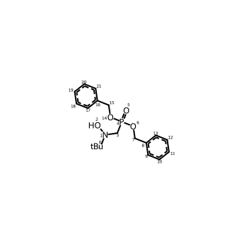 CC(C)(C)N(O)CP(=O)(OCc1ccccc1)OCc1ccccc1